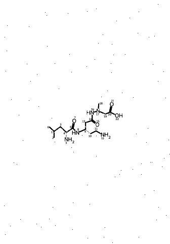 CC(C)C[C@@H](N)C(=O)N[C@@H](CCN)CC(=O)NN(C)CC(=O)O